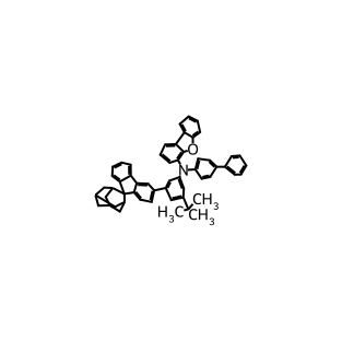 CC(C)(C)c1cc(-c2ccc3c(c2)-c2ccccc2C32C3CC4CC(C3)CC2C4)cc(N(c2ccc(-c3ccccc3)cc2)c2cccc3c2oc2ccccc23)c1